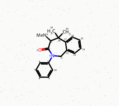 CNC1C(=O)N(c2ccccc2)Cc2ccccc2C1(C)C